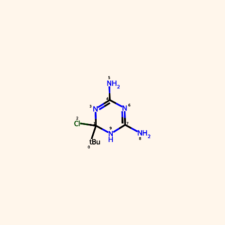 CC(C)(C)C1(Cl)N=C(N)N=C(N)N1